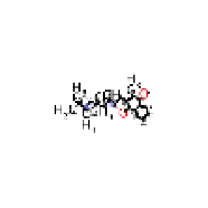 CC1=C(C/C=C(\C)CC(C)(C)/C=C(\C)C(C)C)C(=O)c2ccccc2C1=O